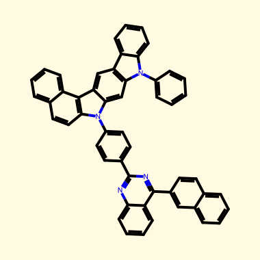 c1ccc(-n2c3ccccc3c3cc4c5c6ccccc6ccc5n(-c5ccc(-c6nc(-c7ccc8ccccc8c7)c7ccccc7n6)cc5)c4cc32)cc1